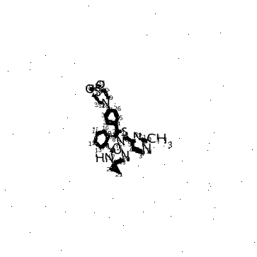 Cc1nccc(-c2nc([C@@H]3CCCC[C@H]3C(=O)NC3(C#N)CC3)c(-c3ccc(N4CCS(=O)(=O)CC4)cc3)s2)n1